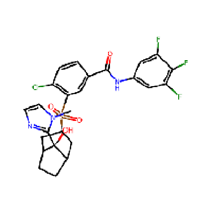 Cn1ccnc1[C@]1(O)C2CCC1C[C@@H](S(=O)(=O)c1cc(C(=O)Nc3cc(F)c(F)c(F)c3)ccc1Cl)C2